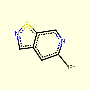 CC(C)c1cc2cnsc2cn1